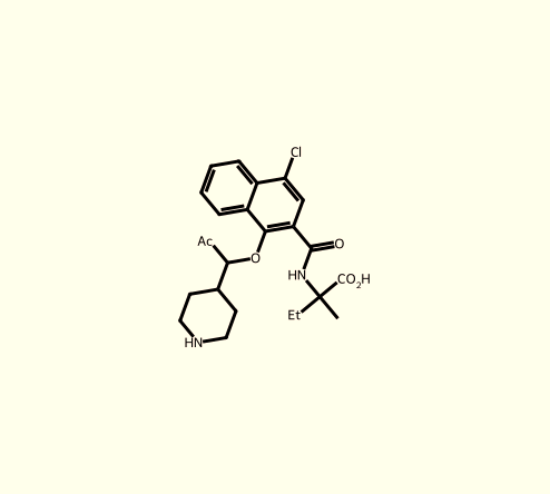 CCC(C)(NC(=O)c1cc(Cl)c2ccccc2c1OC(C(C)=O)C1CCNCC1)C(=O)O